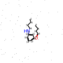 CCCC=O.CCCCNc1ccccc1